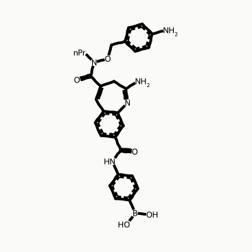 CCCN(OCc1ccc(N)cc1)C(=O)C1=Cc2ccc(C(=O)Nc3ccc(B(O)O)cc3)cc2N=C(N)C1